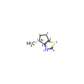 C[C@@H]1CCc2scnc21